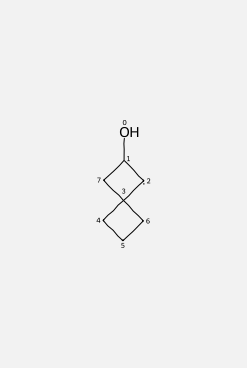 OC1[CH]C2(CCC2)C1